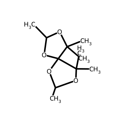 CC1OC(C)(C)C2(O1)OC(C)OC2(C)C